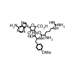 COc1ccc(C[C@H](NC(=O)[C@@H](N)CCCNC(=N)N)C(=O)N[C@H]2[C@@H](O)[C@H](n3cnc4c(N)ncnc43)O[C@@H]2C(=O)O)cc1